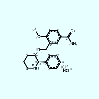 CC(C)Oc1ccc(C(N)=O)cc1CN[C@H]1CCCN[C@@H]1c1ccccc1.Cl.Cl